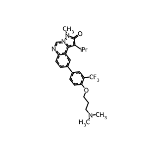 CC(C)c1c(=O)n(C)n2cnc3ccc(-c4ccc(OCCCN(C)C)c(C(F)(F)F)c4)cc3c12